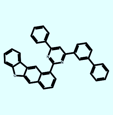 c1ccc(-c2cccc(-c3cc(-c4ccccc4)nc(-c4cccc5cc6oc7ccccc7c6cc45)n3)c2)cc1